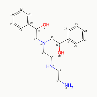 NCCNCCN(CC(O)c1ccccc1)CC(O)c1ccccc1